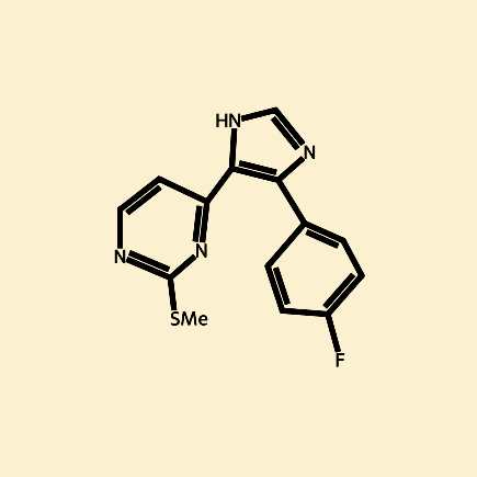 CSc1nccc(-c2[nH]cnc2-c2ccc(F)cc2)n1